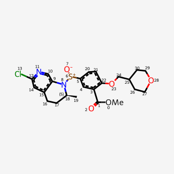 COC(=O)c1cc([S+]([O-])N2c3cnc(Cl)cc3CC[C@@H]2C)ccc1OCC1CCOCC1